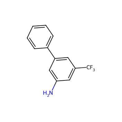 Nc1cc(-c2ccccc2)cc(C(F)(F)F)c1